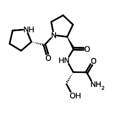 NC(=O)[C@H](CO)NC(=O)[C@@H]1CCCN1C(=O)[C@@H]1CCCN1